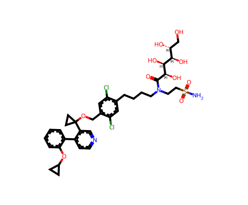 NS(=O)(=O)CCN(CCCCc1cc(Cl)c(COC2(c3cnccc3-c3ccccc3OC3CC3)CC2)cc1Cl)C(=O)[C@H](O)[C@@H](O)[C@H](O)[C@H](O)CO